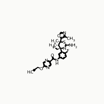 C#CCOc1cnc(C(=O)Nc2ccc(F)c([C@@]3(CF)N=C(N)S[C@](C)(c4ocnc4C)[C@H]3C)c2)cn1